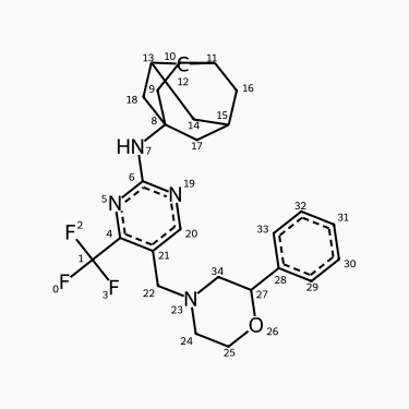 FC(F)(F)c1nc(NC23CCC4CC(CC(C4)C2)C3)ncc1CN1CCOC(c2ccccc2)C1